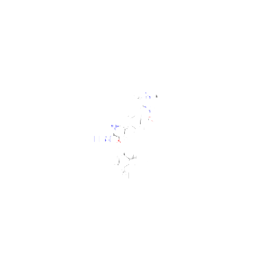 CC1CN(C(=O)c2ccc(-c3cnc(N)c(OCc4ccc(C(F)(F)F)cc4C(F)(F)F)c3)cc2)CC(C)N1